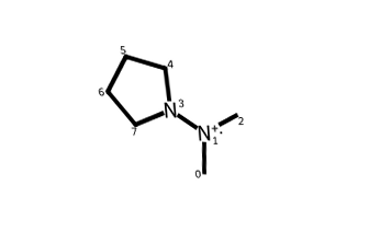 C[N+](C)N1CCCC1